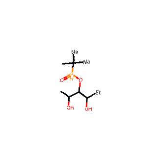 CCC(O)C(O[PH](=O)[C](C)([Na])[Na])C(C)O